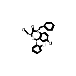 O=C1[C@H](CCl)O[C@@H](c2ccccc2Cl)c2cc(Cl)ccc2N1Cc1ccccc1